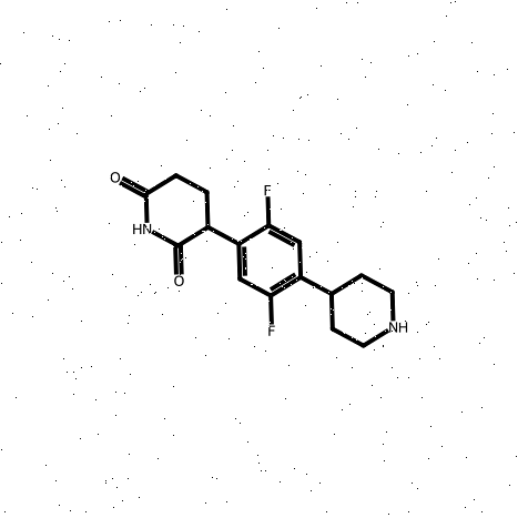 O=C1CCC(c2cc(F)c(C3CCNCC3)cc2F)C(=O)N1